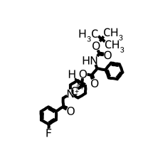 CC(C)(C)OC(=O)NC(C(=O)O[C@H]1C[N+]2(CC(=O)c3cccc(F)c3)CCC1CC2)c1ccccc1